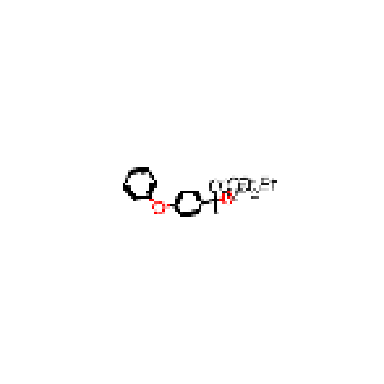 CCOC(=O)OC(C)(C(=O)OCC)c1ccc(Oc2ccccc2)cc1